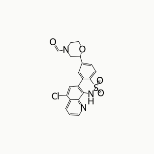 O=CN1CCOC(c2ccc3c(c2)-c2cc(Cl)c4cccnc4c2NS3(=O)=O)C1